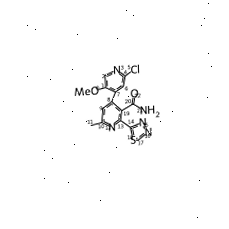 COc1cnc(Cl)cc1-c1cc(C)nc(-c2nncs2)c1C(N)=O